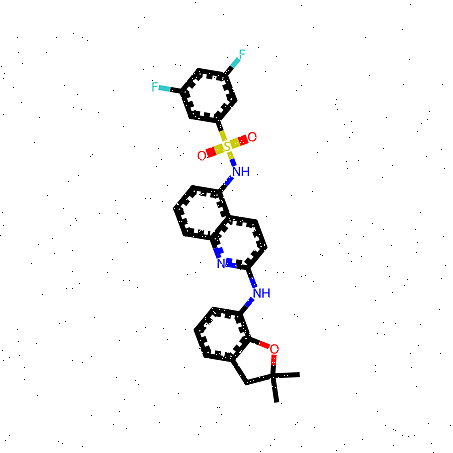 CC1(C)Cc2cccc(Nc3ccc4c(NS(=O)(=O)c5cc(F)cc(F)c5)cccc4n3)c2O1